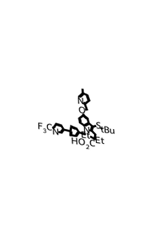 CCC(CC)(Cc1c(SC(C)(C)C)c2cc(OCc3ccc(C)cn3)ccc2n1Cc1ccc(-c2ccc(C(F)(F)F)nc2)cc1)C(=O)O